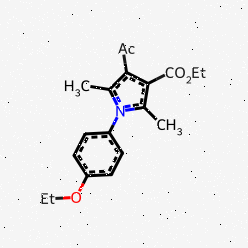 CCOC(=O)c1c(C(C)=O)c(C)n(-c2ccc(OCC)cc2)c1C